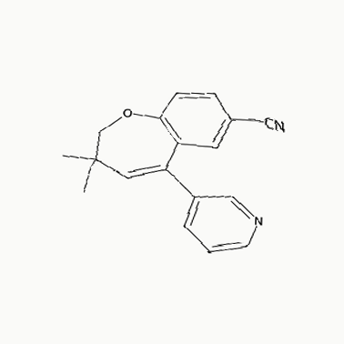 CC1(C)C=C(c2cccnc2)c2cc(C#N)ccc2OC1